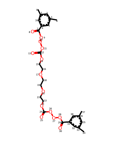 Cc1cc(C)cc(C(=O)OOOC(=O)OCCOCCOCCOC(=O)OOOC(=O)c2cc(C)cc(C)c2)c1